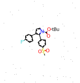 CC(C)(C)OC(=O)n1ccc(-c2ccc(F)cc2)c1-c1ccc(S(C)(=O)=O)cc1